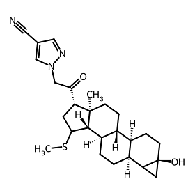 CSC1C[C@H](C(=O)Cn2cc(C#N)cn2)[C@@]2(C)CC[C@@H]3[C@H]4CC[C@]5(O)CC5[C@H]4CC[C@H]3[C@H]12